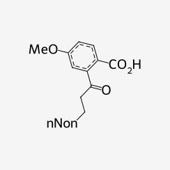 CCCCCCCCCCCC(=O)c1cc(OC)ccc1C(=O)O